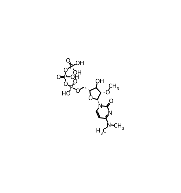 CO[C@H]1C(O)[C@@H](COP(=O)(O)OP(=O)(O)OP(=O)(O)O)O[C@H]1n1ccc(N(C)C)nc1=O